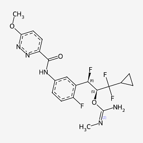 C/N=C(/N)O[C@@H]([C@H](F)c1cc(NC(=O)c2ccc(OC)nn2)ccc1F)C(F)(F)C1CC1